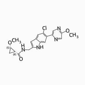 COc1cnc(-c2cc3[nH]c(CNC(=O)[C@@H]4C[C@@H]4OC)cc3cc2Cl)cn1